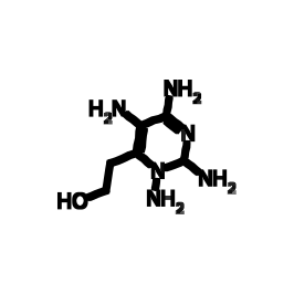 NC1=NC(N)N(N)C(CCO)=C1N